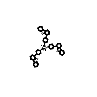 c1ccc2c(c1)sc1c(-c3ccc(-c4nc(-c5ccc(-c6cccc7c6sc6ccccc67)cc5)n(-c5ccc(-c6cccc7c6sc6ccccc67)cc5)n4)cc3)cccc12